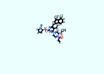 C=CC(=O)N1CCN(c2nc(OC[C@@H]3CCCN3C)nc3c2CC[C@@]2(C=C(C(F)(F)F)c4c(Cl)cccc42)C3)C[C@@H]1CC#N